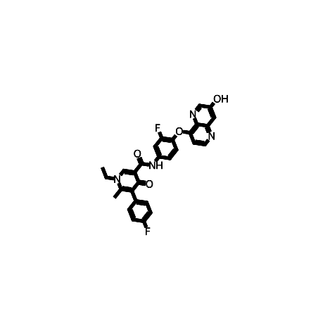 CCn1cc(C(=O)Nc2ccc(Oc3ccnc4cc(O)cnc34)c(F)c2)c(=O)c(-c2ccc(F)cc2)c1C